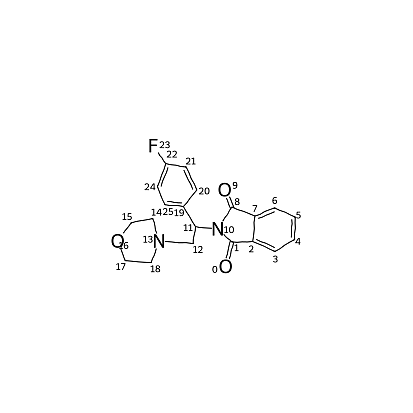 O=C1c2ccccc2C(=O)N1C(CN1CCOCC1)c1ccc(F)cc1